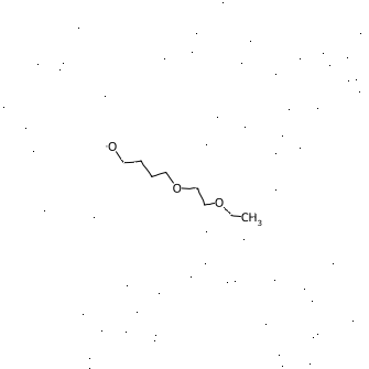 CCOCCOCCCC[O]